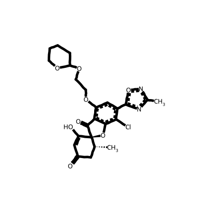 Cc1noc(-c2cc(OCCOC3CCCCO3)c3c(c2Cl)O[C@]2(C3=O)C(O)=CC(=O)C[C@H]2C)n1